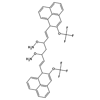 NOC(/C=C/C1C(OC(F)(F)F)=Cc2cccc3cccc1c23)CC(/C=C/C1C(OC(F)(F)F)=Cc2cccc3cccc1c23)ON